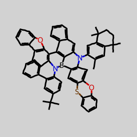 Cc1cc2c(cc1N1c3cc4c(cc3B3c5c1cc1ccccc1c5-c1c(ccc5c1oc1ccccc15)N3c1ccc(C(C)(C)C)cc1-c1ccccc1)Sc1ccccc1O4)C(C)(C)CCC2(C)C